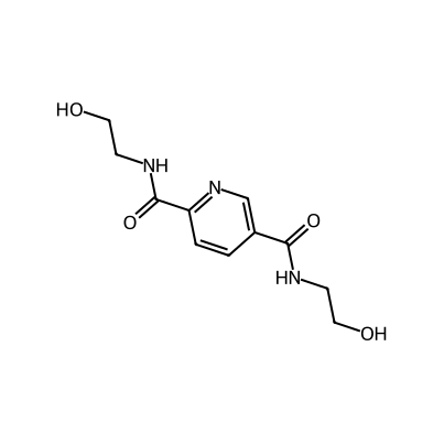 O=C(NCCO)c1ccc(C(=O)NCCO)nc1